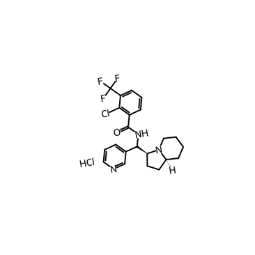 Cl.O=C(NC(c1cccnc1)[C@@H]1CC[C@@H]2CCCCN21)c1cccc(C(F)(F)F)c1Cl